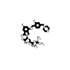 C=C(CC[C@@H](C(N)=O)N1Cc2c(OCc3ccc(CN4CCOCC4)cc3F)cc(F)cc2C1=O)OC(C)(C)C